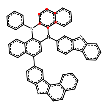 c1ccc(N(c2ccccc2)c2c(N(c3ccc4c(c3)sc3ccccc34)c3cccc4ccccc34)cc(-c3ccc4sc5ccc6ccccc6c5c4c3)c3ccccc23)cc1